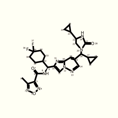 Cc1nonc1C(=O)N[C@H](c1cn2ncc(C(C3CC3)N3CC(C4CC4)NC3=O)cc2n1)C1CCC(F)(F)CC1